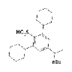 CCCCC(C)c1cc(C2CCCCC2)c(S(=O)(=O)O)c(C2CCCCC2)c1